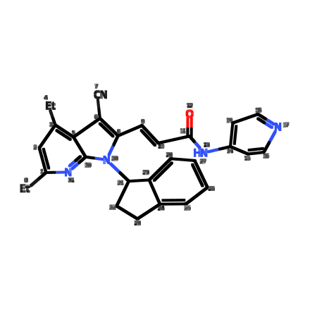 CCc1cc(CC)c2c(C#N)c(C=CC(=O)Nc3ccncc3)n(C3CCc4ccccc43)c2n1